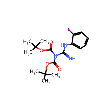 CC(C)(C)OC(=O)N(C(=N)Nc1ccccc1I)C(=O)OC(C)(C)C